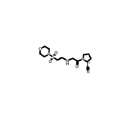 N#C[C@@H]1CCCN1C(=O)CNCCS(=O)(=O)N1CCOCC1